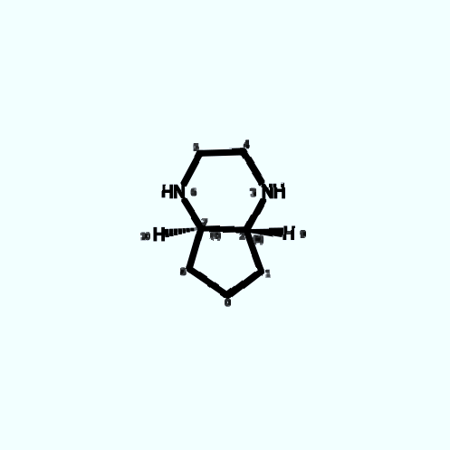 C1C[C@H]2NCCN[C@@H]2C1